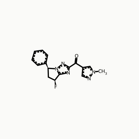 Cn1cc(C(=O)c2nc3n(n2)[C@H](c2ccccc2)C[C@@H]3F)cn1